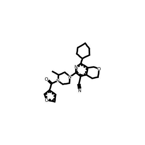 CC1CN(c2nc(C3CCCCC3)c3c(c2C#N)CCOC3)CCN1C(=O)c1ccoc1